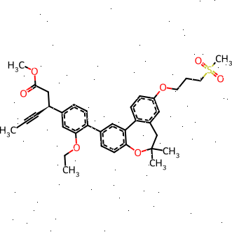 CC#C[C@@H](CC(=O)OC)c1ccc(-c2ccc3c(c2)-c2ccc(OCCCS(C)(=O)=O)cc2CC(C)(C)O3)c(OCC)c1